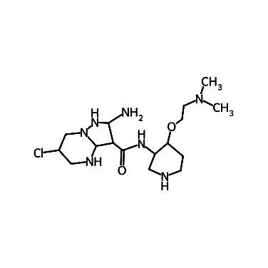 CN(C)CCOC1CCNCC1NC(=O)C1C(N)NN2CC(Cl)CNC12